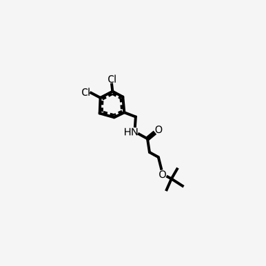 CC(C)(C)OCCC(=O)NCc1ccc(Cl)c(Cl)c1